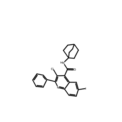 O=C(NC12CCC(CC1)CC2)c1c(Cl)c(-c2ccccc2)nc2ccc(I)cc12